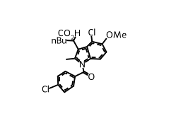 CCCCC(C(=O)O)c1c(C)n(C(=O)c2ccc(Cl)cc2)c2ccc(OC)c(Cl)c12